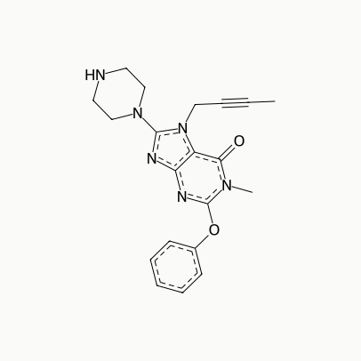 CC#CCn1c(N2CCNCC2)nc2nc(Oc3ccccc3)n(C)c(=O)c21